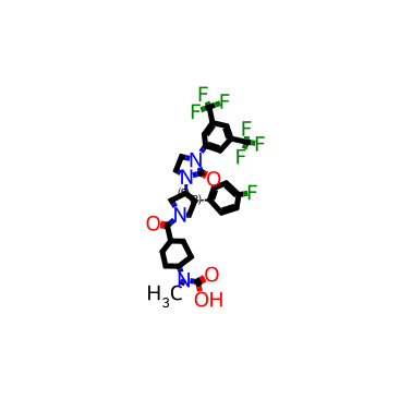 CN(C(=O)O)C1CCC(C(=O)N2C[C@@H](N3CCN(c4cc(C(F)(F)F)cc(C(F)(F)F)c4)C3=O)[C@H](c3ccc(F)cc3)C2)CC1